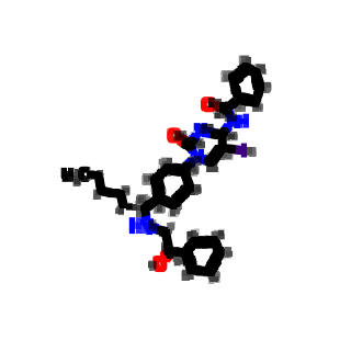 CCCCC[C@@H](NCC(=O)c1ccccc1)c1ccc(-n2cc(I)c(NC(=O)c3ccccc3)nc2=O)cc1